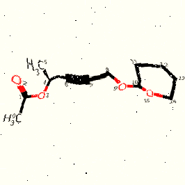 CC(=O)O[C@@H](C)C#CCOC1CCCCO1